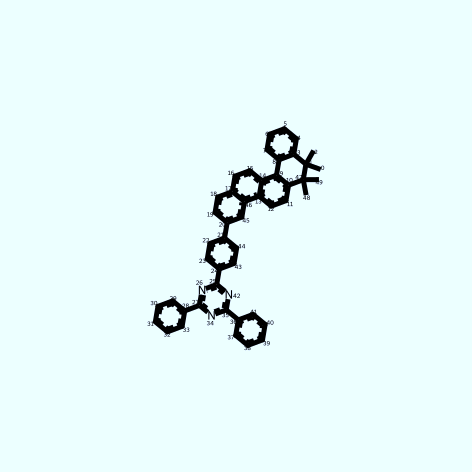 CC1(C)c2ccccc2-c2c(ccc3c2ccc2ccc(-c4ccc(-c5nc(-c6ccccc6)nc(-c6ccccc6)n5)cc4)cc23)C1(C)C